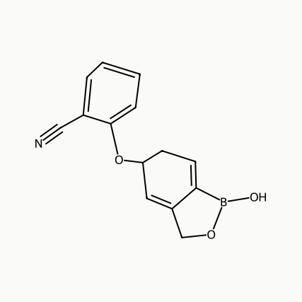 N#Cc1ccccc1OC1C=C2COB(O)C2=CC1